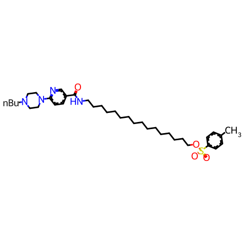 CCCCN1CCN(c2ccc(C(=O)NCCCCCCCCCCCCCCCCOS(=O)(=O)c3ccc(C)cc3)cn2)CC1